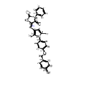 Cc1cc(/C=C2/SC(=O)N(c3ccccc3)C2=O)c(C)n1-c1ccc(OCc2ccc(Br)cc2)cc1